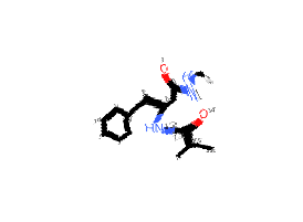 CNC(=O)C(Cc1ccccc1)NC(=O)C(C)C